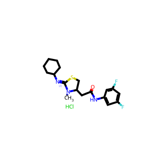 CN1/C(=N/C2CCCCC2)SCC1CC(=O)Nc1cc(F)cc(F)c1.Cl